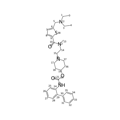 CCN(CC)Cc1ccc(C(=O)N(C)CCN2CCC(OC(=O)Nc3ccccc3-c3ccccc3)CC2)s1